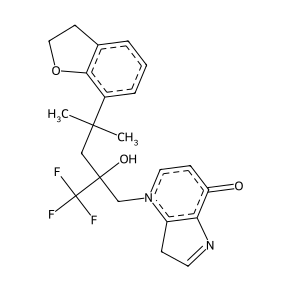 CC(C)(CC(O)(Cn1ccc(=O)c2c1CC=N2)C(F)(F)F)c1cccc2c1OCC2